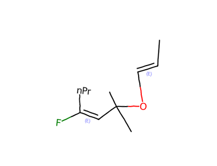 C/C=C/OC(C)(C)/C=C(/F)CCC